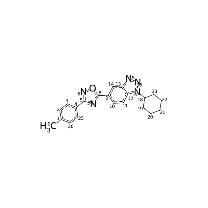 Cc1ccc(-c2noc(-c3ccc4c(c3)nnn4C3CCCCC3)n2)cc1